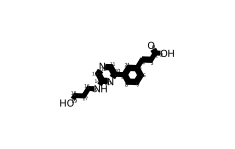 O=C(O)/C=C/c1cccc(-c2cncc(NCCCO)n2)c1